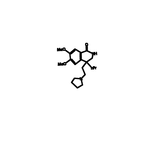 CCCC1(CCN2CCCC2)CNC(=O)c2cc(OC)c(OC)cc21